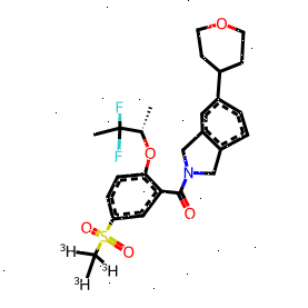 [3H]C([3H])([3H])S(=O)(=O)c1ccc(O[C@@H](C)C(C)(F)F)c(C(=O)N2Cc3ccc(C4CCOCC4)cc3C2)c1